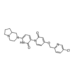 O=c1[nH]c(N2CCN3CCCC3C2)ccc1-n1ccc(OCc2ccc(Cl)cn2)cc1=O